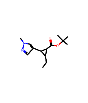 CCC1C(C(=O)OC(C)(C)C)C1c1cnn(C)c1